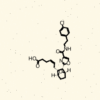 O=C(O)CC/C=C\C[C@@H]1[C@H](c2nc(C(=O)NCCc3ccc(Cl)cc3)co2)[C@H]2CC[C@@H]1O2